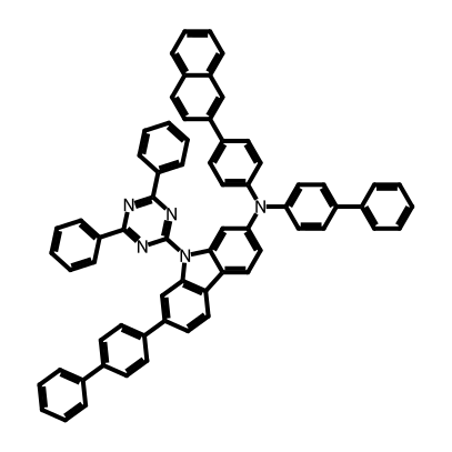 c1ccc(-c2ccc(-c3ccc4c5ccc(N(c6ccc(-c7ccccc7)cc6)c6ccc(-c7ccc8ccccc8c7)cc6)cc5n(-c5nc(-c6ccccc6)nc(-c6ccccc6)n5)c4c3)cc2)cc1